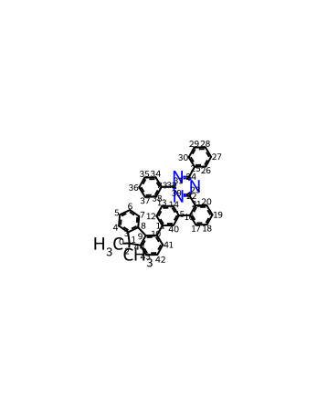 CC1(C)c2ccccc2-c2c(-c3cccc(-c4ccccc4-c4nc(-c5ccccc5)nc(-c5ccccc5)n4)c3)cccc21